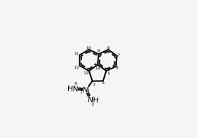 [NH]=[Ni](=[NH])[CH]1Cc2cccc3cccc1c23